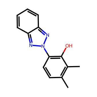 Cc1ccc(-n2nc3ccccc3n2)c(O)c1C